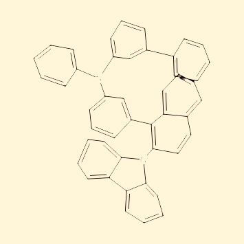 c1ccc(-c2cccc(N(c3ccccc3)c3cccc(-c4c(-n5c6ccccc6c6ccccc65)ccc5ccccc45)c3)c2)cc1